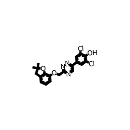 CC1(C)Cc2cccc(OCc3ncc(-c4cc(Cl)c(O)c(Cl)c4)nn3)c2O1